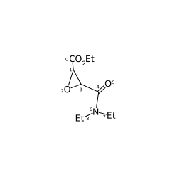 CCOC(=O)C1OC1C(=O)N(CC)CC